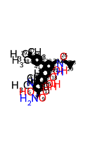 CN(C)C1C(O)=C(C(N)=O)C(=O)[C@]2(O)C(O)=C3C(=O)c4c(O)c(CNC(=O)C5CC5)cc(-c5ccc(C(C)(C)C)cc5)c4C[C@@H]3C[C@@H]12